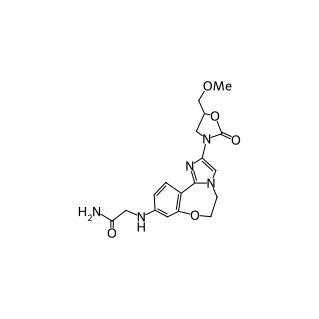 COCC1CN(c2cn3c(n2)-c2ccc(NCC(N)=O)cc2OCC3)C(=O)O1